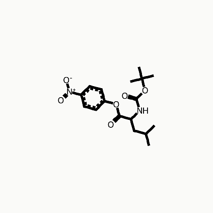 CC(C)CC(NC(=O)OC(C)(C)C)C(=O)Oc1ccc([N+](=O)[O-])cc1